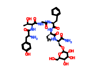 CC(C)C[C@H](NC(=O)[C@H](Cc1ccccc1)NC(=O)CNC(=O)[C@@H](NC(=O)[C@@H](N)Cc1ccc(O)cc1)[C@@H](C)O)C(=O)N[C@@H](COC1O[C@H](CO)[C@@H](O)[C@H](O)[C@H]1O)C(N)=O